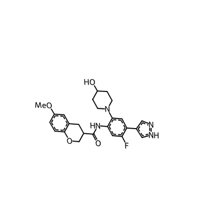 COc1ccc2c(c1)CC(C(=O)Nc1cc(F)c(-c3cn[nH]c3)cc1N1CCC(O)CC1)CO2